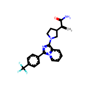 C=C(C(N)=O)C1CCN(c2nc(-c3ccc(C(F)(F)F)cc3)n3ccccc23)C1